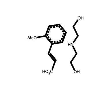 COc1ccccc1/C=C/C(=O)O.OCCNCCO